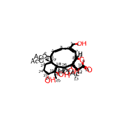 CC(=O)O[C@H]1/C=C\C(CO)=C/[C@@H]2OC(=O)[C@H](C)[C@@]2(O)[C@@H](OC(C)=O)[C@H]2[C@](C)(O)[C@H](O)C[C@H](OC(C)=O)[C@]12C